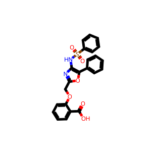 O=C(O)c1ccccc1OCc1nc(NS(=O)(=O)c2ccccc2)c(-c2ccccc2)o1